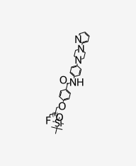 CC(C)(C)[Si](C)(C)O[C@@H](CF)COc1ccc(C(=O)Nc2ccc(N3CCN(c4ccccn4)CC3)cc2)cc1